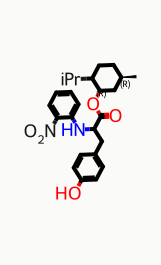 CC(C)C1CC[C@@H](C)C[C@H]1OC(=O)C(Cc1ccc(O)cc1)Nc1ccccc1[N+](=O)[O-]